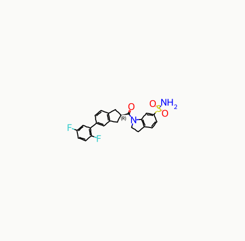 NS(=O)(=O)c1ccc2c(c1)N(C(=O)[C@@H]1Cc3ccc(-c4cc(F)ccc4F)cc3C1)CC2